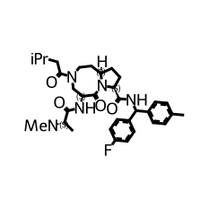 CN[C@@H](C)C(=O)N[C@H]1CN(C(=O)CC(C)C)CC[C@H]2CC[C@@H](C(=O)NC(c3ccc(C)cc3)c3ccc(F)cc3)N2C1=O